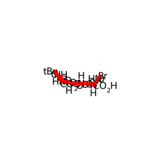 CC(C)(C)CC(=O)NC[C@H]1CC[C@H](C(=O)N[C@@H](CCC(=O)NCCOCCOCC(=O)NCCOCCOCC(=O)N[C@@H](CCCCNC(=O)CBr)C(=O)O)C(=O)O)CC1